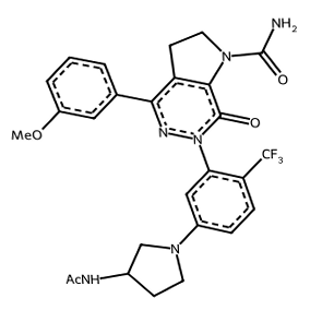 COc1cccc(-c2nn(-c3cc(N4CCC(NC(C)=O)C4)ccc3C(F)(F)F)c(=O)c3c2CCN3C(N)=O)c1